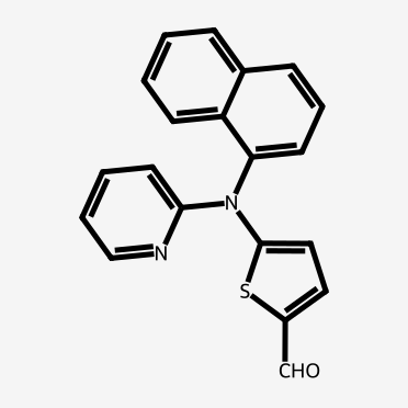 O=Cc1ccc(N(c2ccccn2)c2cccc3ccccc23)s1